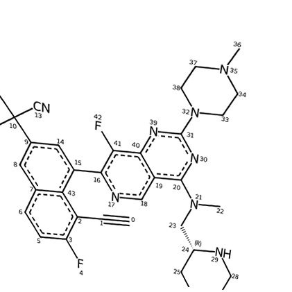 C#Cc1c(F)ccc2cc(C(C)(C)C#N)cc(-c3ncc4c(N(C)C[C@H]5CCCCN5)nc(N5CCN(C)CC5)nc4c3F)c12